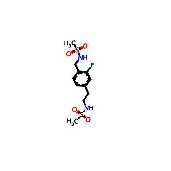 CS(=O)(=O)NCCc1ccc(CNS(C)(=O)=O)c(F)c1